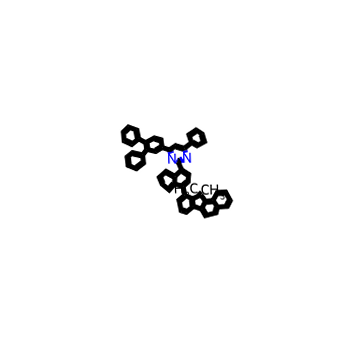 CC1(C)c2c(cccc2-c2ccc(-c3nc(-c4ccccc4)cc(-c4ccc(-c5ccccc5)c(-c5ccccc5)c4)n3)c3ccccc23)-c2ccc3ccccc3c21